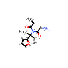 C=CC(=O)N(C(=O)CN)C(CC(C)C)(C(=O)O)c1ccco1